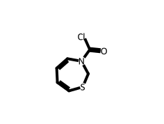 O=C(Cl)N1C=CC=CSC1